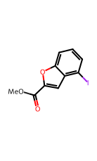 COC(=O)c1cc2c(I)cccc2o1